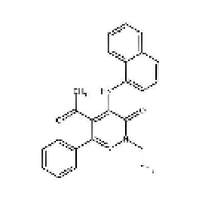 CCn1nc(-c2ccccc2)c(C(C)=O)c(Nc2cccc3ccccc23)c1=O